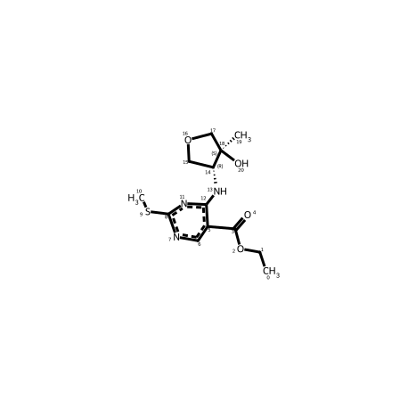 CCOC(=O)c1cnc(SC)nc1N[C@@H]1COC[C@@]1(C)O